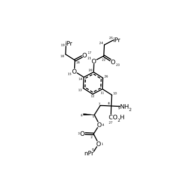 CCCOC(=O)O[C@@H](C)CC(N)(Cc1ccc(OC(=O)CC(C)C)c(OC(=O)CC(C)C)c1)C(=O)O